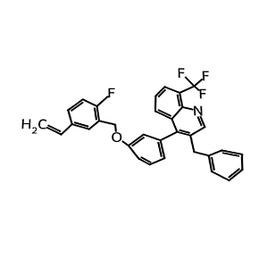 C=Cc1ccc(F)c(COc2cccc(-c3c(Cc4ccccc4)cnc4c(C(F)(F)F)cccc34)c2)c1